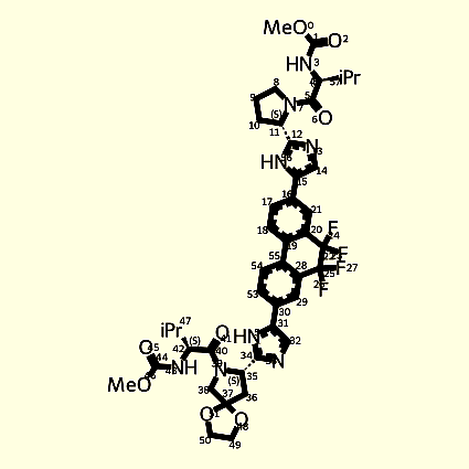 COC(=O)N[C@H](C(=O)N1CCC[C@H]1c1ncc(-c2ccc3c(c2)C(F)(F)C(F)(F)c2cc(-c4cnc([C@@H]5CC6(CN5C(=O)[C@@H](NC(=O)OC)C(C)C)OCCO6)[nH]4)ccc2-3)[nH]1)C(C)C